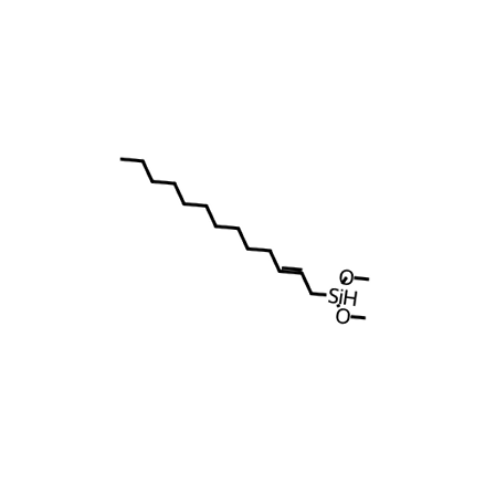 CCCCCCCCCCC=CC[SiH](OC)OC